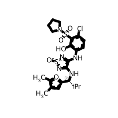 Cc1cc([C@H](Nc2n[s+]([O-])nc2Nc2ccc(Cl)c(S(=O)(=O)N3CCCC3)c2O)C(C)C)oc1C